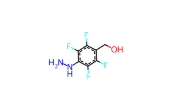 NNc1c(F)c(F)c(CO)c(F)c1F